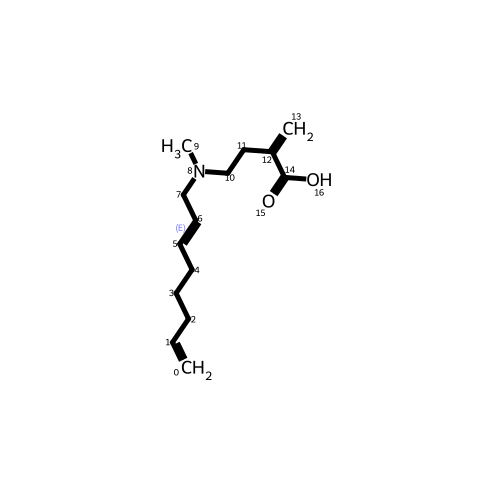 C=CCCC/C=C/CN(C)CCC(=C)C(=O)O